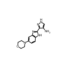 Nc1c[nH]nc1-c1nc2cc(N3CCOCC3)ccc2[nH]1